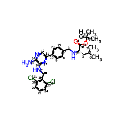 CC(C)C[C@H](NCc1ccc(-c2cnc(N)c(NCc3c(Cl)cccc3Cl)n2)cc1)C(=O)OC(C)(C)C